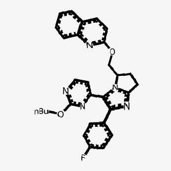 CCCCOc1nccc(-c2c(-c3ccc(F)cc3)nc3n2C(COc2ccc4ccccc4n2)CC3)n1